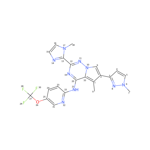 Cc1c(-c2ccn(C)n2)cn2nc(-c3nccn3C)nc(Nc3ccc(OC(F)(F)F)cn3)c12